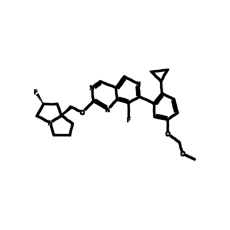 COCOc1ccc(C2CC2)c(-c2ncc3cnc(OC[C@@]45CCCN4C[C@H](F)C5)nc3c2F)c1